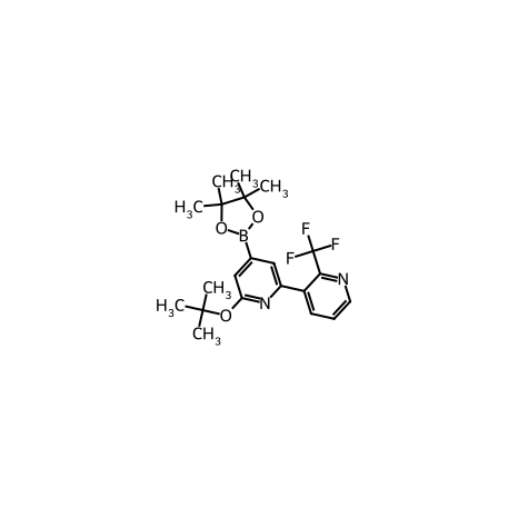 CC(C)(C)Oc1cc(B2OC(C)(C)C(C)(C)O2)cc(-c2cccnc2C(F)(F)F)n1